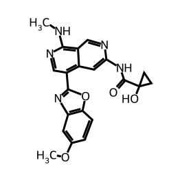 CNc1ncc(-c2nc3cc(OC)ccc3o2)c2cc(NC(=O)C3(O)CC3)ncc12